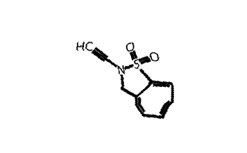 C#CN1Cc2ccccc2S1(=O)=O